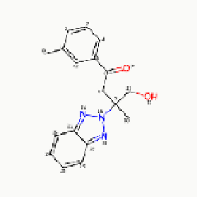 Cc1cccc(C(=O)CC(C)(CO)n2nc3ccccc3n2)c1